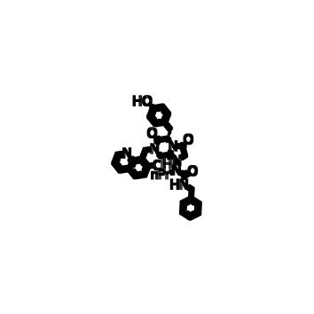 CCCN(C(=O)NCc1ccccc1)N1CC(=O)N2[C@@H](Cc3ccc(O)cc3)C(=O)N(Cc3c(Cl)ccc4cccnc34)C[C@@H]21